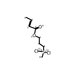 CC=CC(=O)OCCC[Si](C)(Cl)Cl